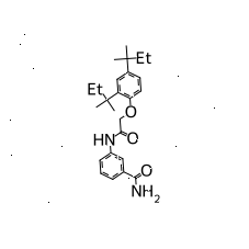 CCC(C)(C)c1ccc(OCC(=O)Nc2cccc(C(N)=O)c2)c(C(C)(C)CC)c1